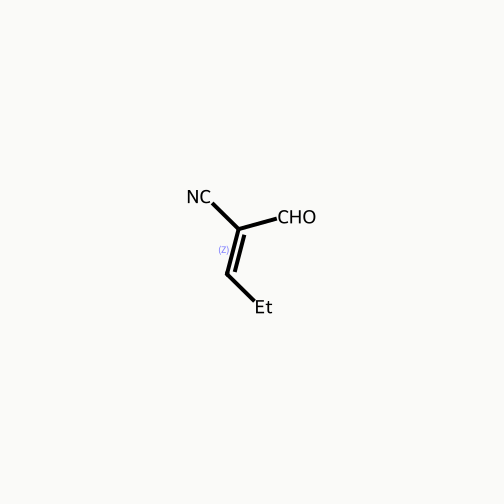 CC/C=C(/C#N)C=O